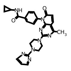 Cc1nc(N2CCN(c3ncccn3)CC2)nc2c1ccc(=O)n2-c1ccc(C(=O)NC2CC2)cc1